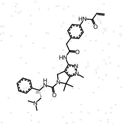 C=CC(=O)Nc1ccc(CC(=O)Nc2nn(C)c3c2CN(C(=O)N[C@H](CN(C)C)c2ccccc2)C3(C)C)cc1